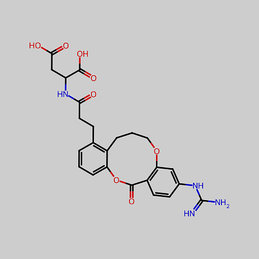 N=C(N)Nc1ccc2c(c1)OCCCc1c(CCC(=O)NC(CC(=O)O)C(=O)O)cccc1OC2=O